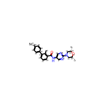 Cc1c(C(=O)Nc2cnc(N3C[C@@H](C)O[C@@H](C)C3)nc2)cccc1-c1ccc(C#N)cc1